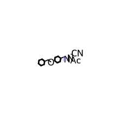 CC(=O)N(CC#N)/N=C/c1ccc(OCc2ccccc2)cc1